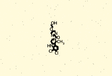 C[C@@H]1c2c([nH]c3c(Cl)c(Cl)ccc23)CCN1C(=O)c1ncc(OCCO)cn1